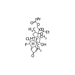 CCCC(=O)OCC(=O)[C@@]1(OC(=O)CC)C(C)C[C@H]2[C@@H]3C(Cl)C(F)C4=CC(=O)C=C[C@]4(C)[C@@]3(F)C(O)C[C@@]21C